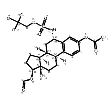 CC(=O)Oc1ccc2c(c1)[C@@H](NS(=O)(=O)OCC(Cl)(Cl)Cl)C[C@@H]1[C@@H]2CC[C@]2(C)[C@@H](OC=O)CC[C@@H]12